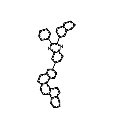 c1ccc(-c2nc3cc(-c4ccc5c(ccc6ccc7c8ccccc8ccc7c65)c4)ccc3nc2-c2ccc3ccccc3c2)cc1